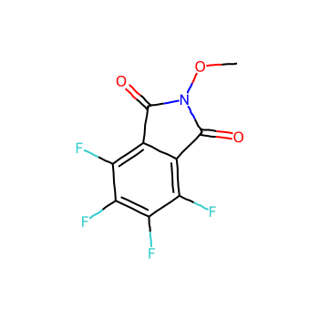 CON1C(=O)c2c(F)c(F)c(F)c(F)c2C1=O